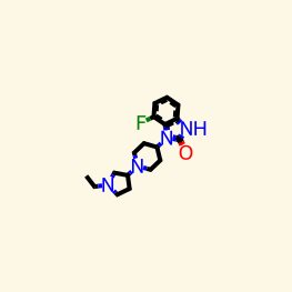 CCN1CCC(N2CCC(n3c(=O)[nH]c4cccc(F)c43)CC2)C1